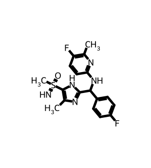 Cc1nc(NC(c2ccc(F)cc2)c2nc(C)c(S(C)(=N)=O)[nH]2)ccc1F